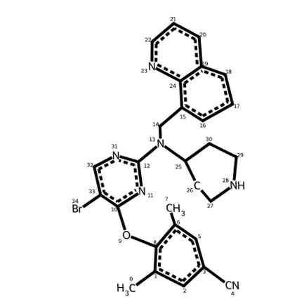 Cc1cc(C#N)cc(C)c1Oc1nc(N(Cc2cccc3cccnc23)C2CCNCC2)ncc1Br